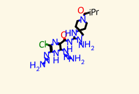 CC(C)C(=O)N1CCC2(CC1)CN(N)C(NC(=O)C1=NC(Cl)=C(N=NN)NC1N=NN)N2